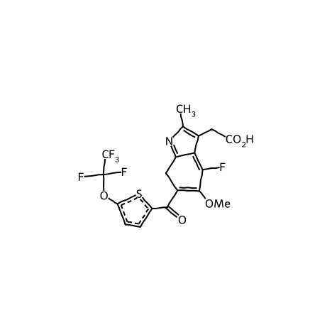 COC1=C(C(=O)c2ccc(OC(F)(F)C(F)(F)F)s2)CC2=NC(C)=C(CC(=O)O)C2=C1F